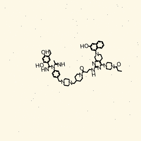 CCC(=O)N1CCN(c2nc(NCCC(=O)N3CCC(CN4CCN(Cc5ccc(N(C(C)=N)C(=N)c6cc(CC)c(O)cc6O)cc5)CC4)CC3)nc3c2CCN(c2cc(O)cc4ccccc24)C3)CC1